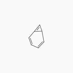 C1=CC2=CC2C=C1